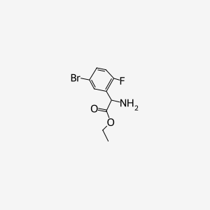 CCOC(=O)C(N)c1cc(Br)ccc1F